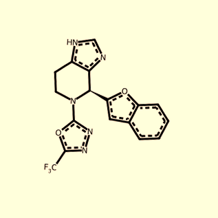 FC(F)(F)c1nnc(N2CCc3[nH]cnc3[C@H]2c2cc3ccccc3o2)o1